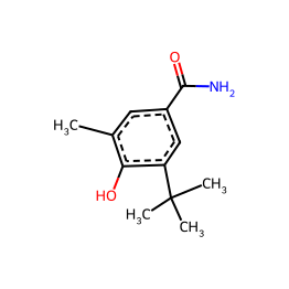 Cc1cc(C(N)=O)cc(C(C)(C)C)c1O